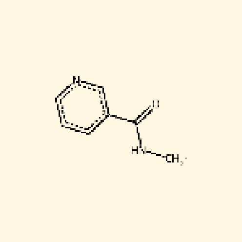 [CH2]NC(=O)c1cccnc1